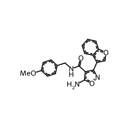 COc1ccc(CNC(=O)c2c(-c3coc4ccccc34)noc2N)cc1